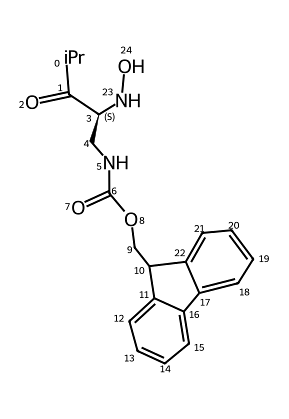 CC(C)C(=O)[C@H](CNC(=O)OCC1c2ccccc2-c2ccccc21)NO